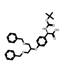 CC(C)(C)OC(=O)N[C@@H](C(=O)O)c1ccc(OC(COCc2ccccc2)COCc2ccccc2)cc1